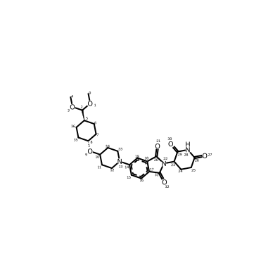 COC(OC)[C@H]1CC[C@H](OC2CCN(c3ccc4c(c3)C(=O)N(C3CCC(=O)NC3=O)C4=O)CC2)CC1